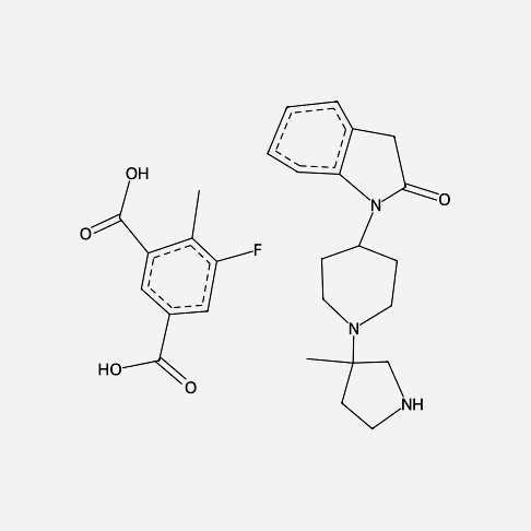 CC1(N2CCC(N3C(=O)Cc4ccccc43)CC2)CCNC1.Cc1c(F)cc(C(=O)O)cc1C(=O)O